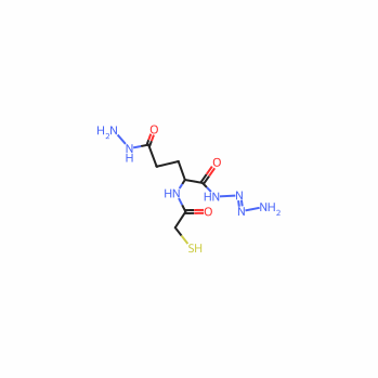 NN=NNC(=O)C(CCC(=O)NN)NC(=O)CS